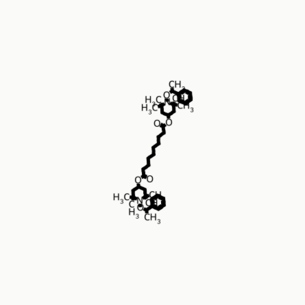 CC(ON1C(C)(C)CC(OC(=O)CCCCCCCCC(=O)OC2CC(C)(C)N(OC(C)c3ccccc3)C(C)(C)C2)CC1(C)C)c1ccccc1